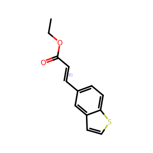 CCOC(=O)/C=C/c1ccc2sccc2c1